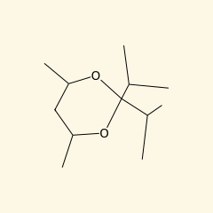 CC1CC(C)OC(C(C)C)(C(C)C)O1